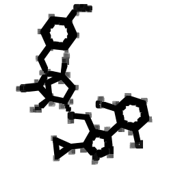 COc1ccc(CN2C(=O)[C@@H]3C[C@H]2C[C@@H]3OCc2c(-c3c(Cl)cccc3Cl)noc2C2CC2)cc1